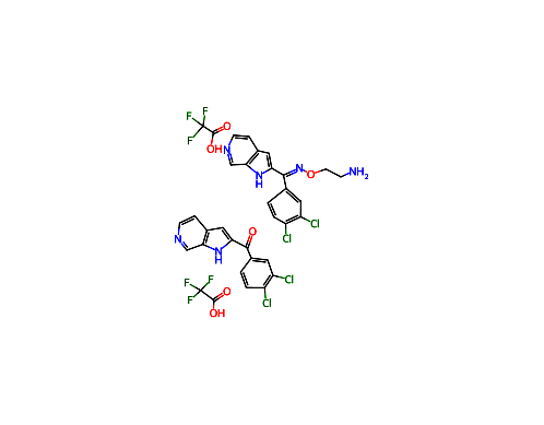 NCCON=C(c1ccc(Cl)c(Cl)c1)c1cc2ccncc2[nH]1.O=C(O)C(F)(F)F.O=C(O)C(F)(F)F.O=C(c1ccc(Cl)c(Cl)c1)c1cc2ccncc2[nH]1